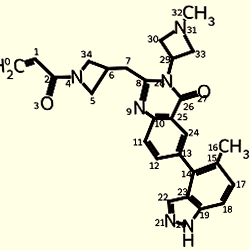 C=CC(=O)N1CC(Cc2nc3ccc(-c4c(C)ccc5[nH]ncc45)cc3c(=O)n2C2CN(C)C2)C1